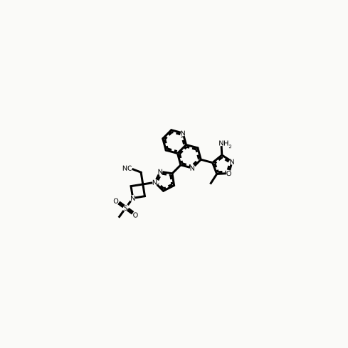 Cc1onc(N)c1-c1cc2ncccc2c(-c2ccn(C3(CC#N)CN(S(C)(=O)=O)C3)n2)n1